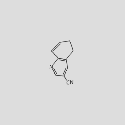 N#Cc1cnc2c(c1)CCC=C2